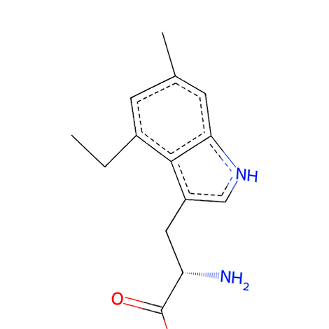 CCc1cc(C)cc2[nH]cc(C[C@H](N)C(=O)O)c12